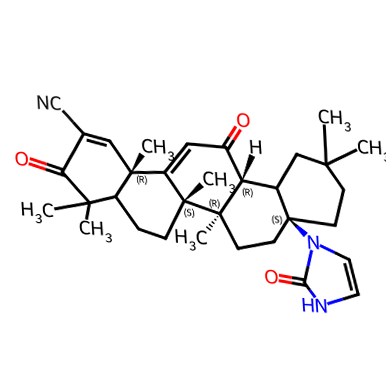 CC1(C)CC[C@]2(n3cc[nH]c3=O)CC[C@]3(C)[C@H](C(=O)C=C4[C@@]5(C)C=C(C#N)C(=O)C(C)(C)C5CC[C@]43C)C2C1